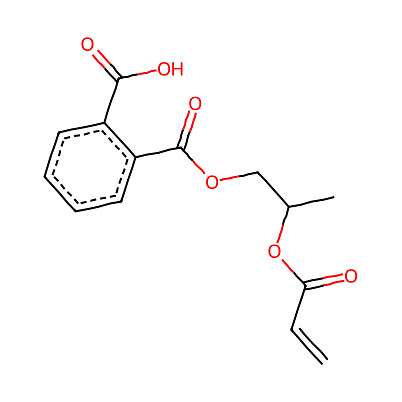 C=CC(=O)OC(C)COC(=O)c1ccccc1C(=O)O